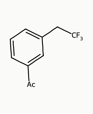 CC(=O)c1cccc(CC(F)(F)F)c1